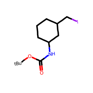 CC(C)(C)OC(=O)NC1CCCC(CI)C1